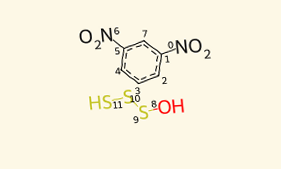 O=[N+]([O-])c1cccc([N+](=O)[O-])c1.OSSS